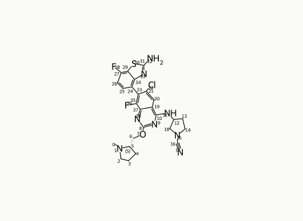 CN1CCC[C@H]1COc1nc(NC2CCN(C#N)C2)c2cc(Cl)c(-c3ccc(F)c4sc(N)nc34)c(F)c2n1